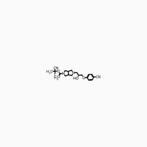 CC(C)(C#N)OC(=O)N1CC2CN(C[C@H](O)COc3ccc(C#N)cc3)CC2C1